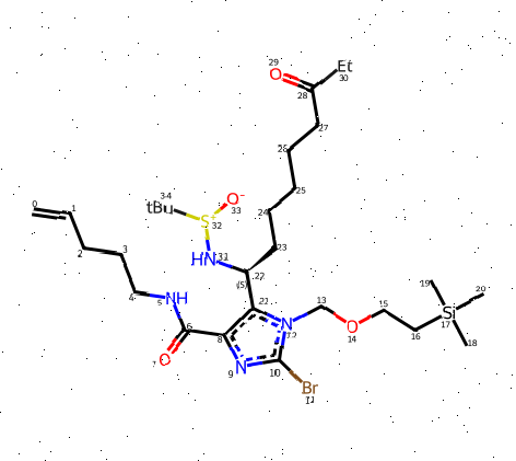 C=CCCCNC(=O)c1nc(Br)n(COCC[Si](C)(C)C)c1[C@H](CCCCCC(=O)CC)N[S+]([O-])C(C)(C)C